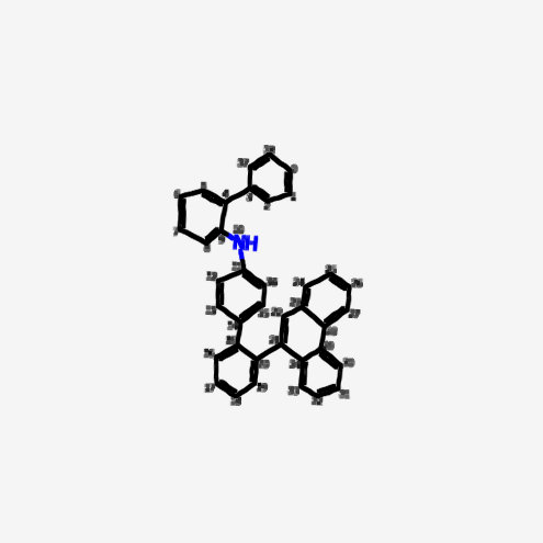 c1ccc(-c2ccccc2Nc2ccc(-c3ccccc3-c3cc4ccccc4c4ccccc34)cc2)cc1